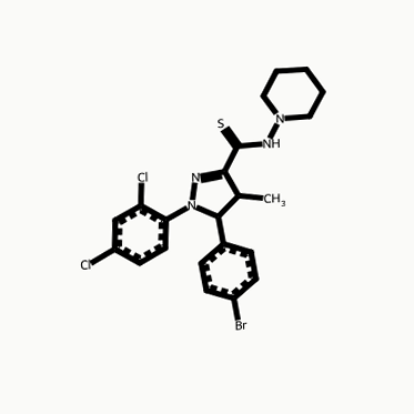 CC1C(C(=S)NN2CCCCC2)=NN(c2ccc(Cl)cc2Cl)C1c1ccc(Br)cc1